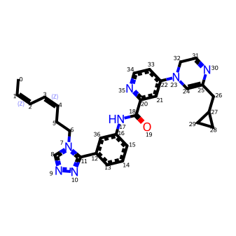 C/C=C\C=C/CCn1cnnc1-c1cccc(NC(=O)c2cc(N3C=C(CC4CC4)N=CC3)ccn2)c1